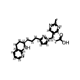 Cc1ncc([C@H](CC(=O)O)n2ccc(CCC[C@@H]3CCc4cccnc4N3)n2)cn1